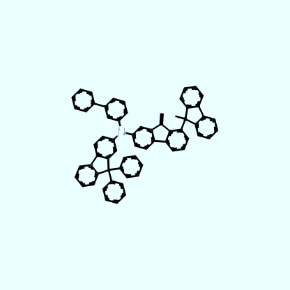 C=C1c2cc(N(c3cccc(-c4ccccc4)c3)c3ccc4c(c3)C(c3ccccc3)(c3ccccc3)c3ccccc3-4)ccc2-c2cccc(C3(C)c4ccccc4-c4ccccc43)c21